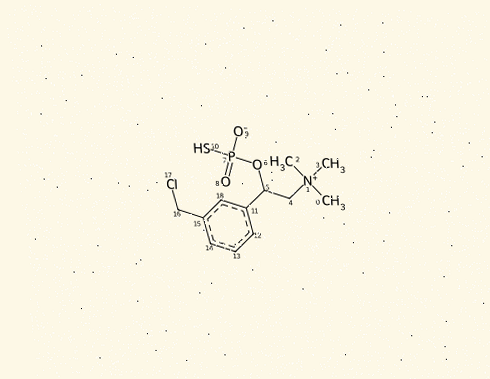 C[N+](C)(C)CC(OP(=O)([O-])S)c1cccc(CCl)c1